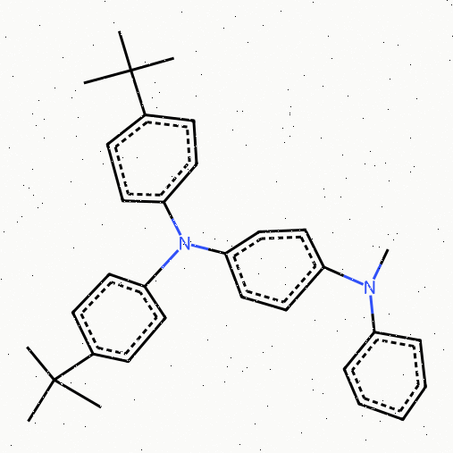 CN(c1ccccc1)c1ccc(N(c2ccc(C(C)(C)C)cc2)c2ccc(C(C)(C)C)cc2)cc1